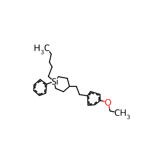 CCCCC[Si]1(c2ccccc2)CCC(CCc2ccc(OCC)cc2)CC1